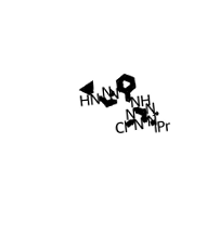 CC(C)n1cnc2c(NCc3ccccc3-n3ccc(NC4CC4)n3)nc(Cl)nc21